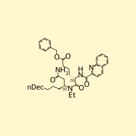 CCCCCCCCCCCCC[C@@H](CC(N)=O)N(CC)C(=O)[C@H](CCCC(=O)OCc1ccccc1)NC(=O)c1ccc2ccccc2n1